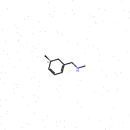 CNCC1=CC=C[C@@H](C)C1